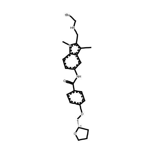 Cc1c(CNCC(C)(C)C)n(C)c2ccc(NC(=O)c3ccc(OC[C@@H]4CCCO4)cc3)cc12